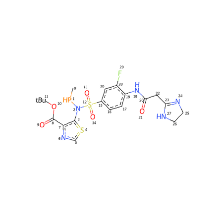 CPN(c1scnc1C(=O)OC(C)(C)C)S(=O)(=O)c1ccc(NC(=O)CC2=NCCN2)c(F)c1